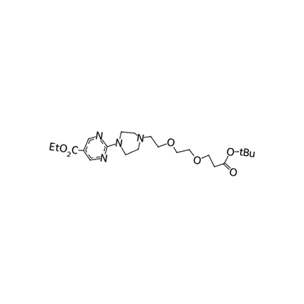 CCOC(=O)c1cnc(N2CCN(CCOCCOCCC(=O)OC(C)(C)C)CC2)nc1